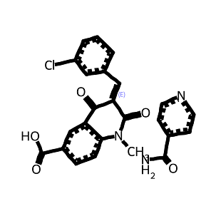 CN1C(=O)/C(=C/c2cccc(Cl)c2)C(=O)c2cc(C(=O)O)ccc21.NC(=O)c1ccncc1